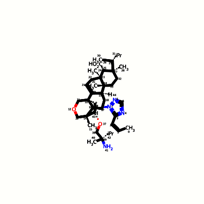 C/C=C\c1ncnn1[C@@H]1C[C@@]23COC[C@](C)([C@@H]2CC[C@H]2C3=CC[C@@]3(C)[C@H](C(=O)O)[C@@](C)([C@H](C)C(C)C)CC[C@]23C)[C@H]1OC[C@](C)(N)C(C)C